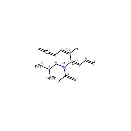 C=C=C/C=C(C)\C(=C/C=C)N(CC(CCC)CCC)C(=C)C